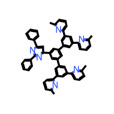 Cc1cccc(-c2cc(-c3cc(-c4cc(-c5cccc(C)n5)cc(-c5cccc(C)n5)c4)cc(-c4cc(-c5ccccc5)nc(-c5ccccc5)n4)c3)cc(-c3cccc(C)n3)c2)n1